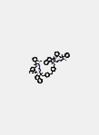 CCCC[N+]1=C(/C=C/C=C2/N(C)c3ccccc3C2(C)Cc2ccccc2)C(C)(Cc2ccc(Cc3ccc(CC4(C)C(/C=C/C=C5/N(C)c6ccccc6C5(C)Cc5ccccc5)=[N+](CCCC)c5ccc6ccccc6c54)cc3)cc2)c2c1ccc1ccccc21